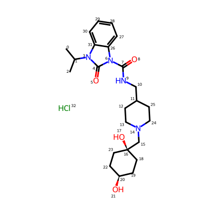 CC(C)n1c(=O)n(C(=O)NCC2CCN(C[C@]3(O)CC[C@@H](O)CC3)CC2)c2ccccc21.Cl